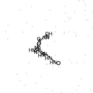 O=C(O)CNCCC(=O)N1CCN(c2nc(NCc3cn(CCCNCCCNC4CCCCC4)nn3)c3nc[nH]c3n2)CC1